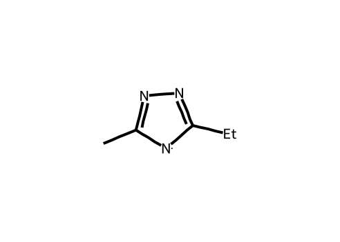 CCC1=NN=C(C)[N]1